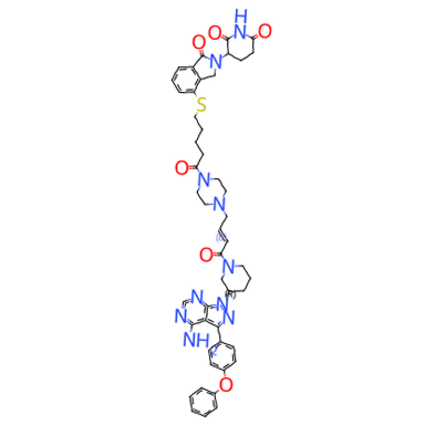 Nc1ncnc2c1c(-c1ccc(Oc3ccccc3)cc1)nn2[C@@H]1CCCN(C(=O)/C=C/CN2CCN(C(=O)CCCCSc3cccc4c3CN(C3CCC(=O)NC3=O)C4=O)CC2)C1